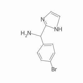 NC(c1ccc(Br)cc1)c1ncc[nH]1